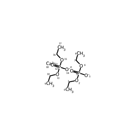 CCOP(=O)([O-])OCC.CCOP(=O)([O-])OCC.[Ca+2]